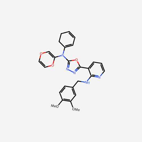 COc1ccc(CNc2ncccc2-c2nnc(N(C3=CC=CCC3)C3=COC=CO3)o2)cc1OC